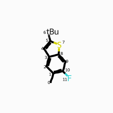 Cc1cc2cc(C(C)(C)C)sc2cc1F